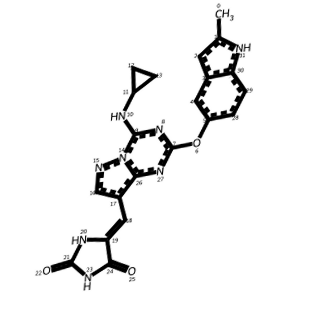 Cc1cc2cc(Oc3nc(NC4CC4)n4ncc(/C=C5\NC(=O)NC5=O)c4n3)ccc2[nH]1